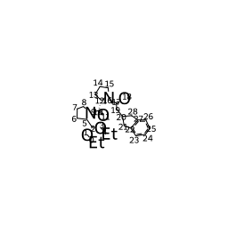 CCOC(OCC)C1CCCN1C(=O)[C@@H]1CCCN1C(=O)CC1Cc2ccccc2C1